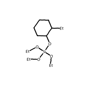 CCO[Si](OCC)(OCC)OC1CCCCC1CC